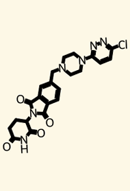 O=C1CCC(N2C(=O)c3ccc(CN4CCN(c5ccc(Cl)nn5)CC4)cc3C2=O)C(=O)N1